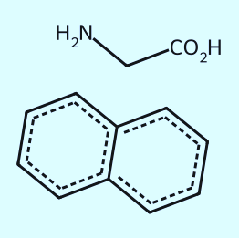 NCC(=O)O.c1ccc2ccccc2c1